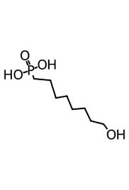 O=P(O)(O)CCCCCCCCO